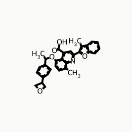 Cc1c(-c2cc(C(=O)O)c3c(OC(C)c4ccc(C5COC5)cc4)ccc(C)c3n2)oc2ccccc12